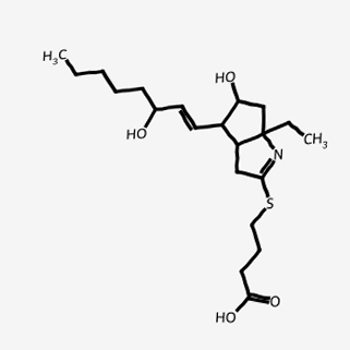 CCCCCC(O)C=CC1C(O)CC2(CC)N=C(SCCCC(=O)O)CC12